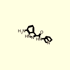 Nc1cccc2c(C(=O)NC3CN4CCC3CC4)n[nH]c12